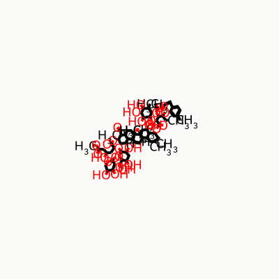 COC(=O)C1OC(O[C@H]2CC[C@]3(C)[C@H]4C=CC5[C@@H]6CC(C)(C)CC[C@]6(C(=O)OC6OC(C)C(OC(=O)/C=C\c7ccc(C)cc7)C(OC(C)=O)C6OC6CC(C)C(O)C(O)C6O)[C@H](O)C[C@@]5(C)[C@]4(C)CC[C@H]3[C@]2(C)C=O)C(OC2OC(CO)C(O)CC2O)C(OC2OCC(O)C(O)C2O)C1O